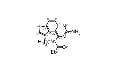 CCC(=O)N(C)c1nc(N)nc2ccc3c(c12)C(C)=CC3